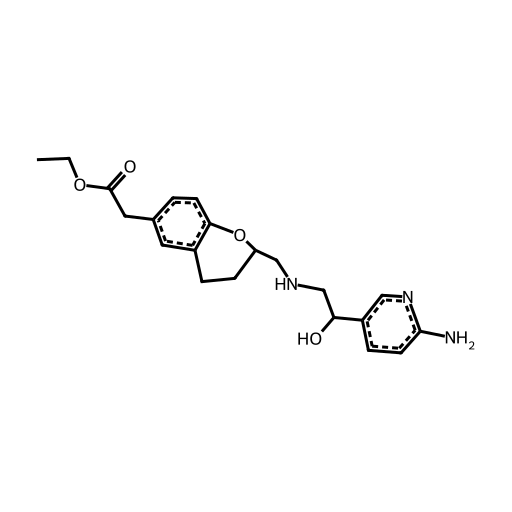 CCOC(=O)Cc1ccc2c(c1)CCC(CNCC(O)c1ccc(N)nc1)O2